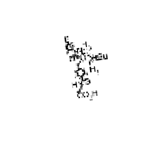 CC(CCC1(C)N=C(c2ccc(Cl)s2)C(=O)N1CCc1ccc(C(=O)NCCC(=O)O)cc1)C(C)(C)C